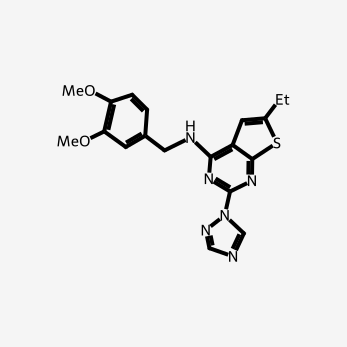 CCc1cc2c(NCc3ccc(OC)c(OC)c3)nc(-n3cncn3)nc2s1